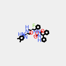 COC(=O)N[C@H](C(=O)Nc1cccc(F)c1CC[C@@H]1CN[C@H](c2nc3cc(C)c(C)cc3[nH]2)CO1)C(c1ccccc1)c1ccccc1